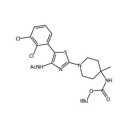 CC(=O)Nc1nc(N2CCC(C)(NC(=O)OC(C)(C)C)CC2)sc1-c1cccc(Cl)c1Cl